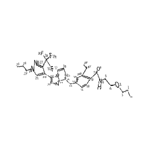 CCCOCCNC(=O)c1ccc(Cc2nccn3c(-c4cn(CCC)nc4C(F)(F)F)cnc23)cc1CC